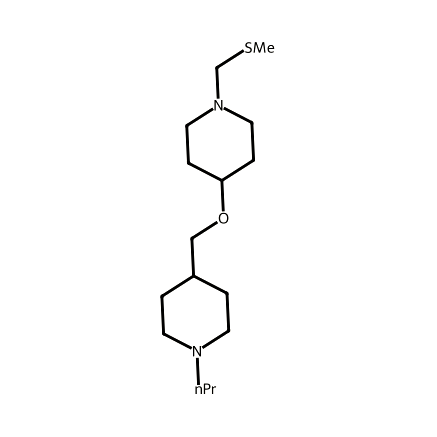 CCCN1CCC(COC2CCN(CSC)CC2)CC1